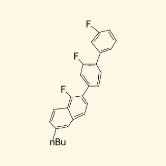 CCCCc1ccc2c(F)c(-c3ccc(-c4cccc(F)c4)c(F)c3)ccc2c1